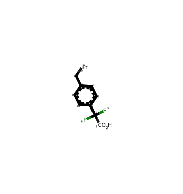 CC(C)Cc1ccc(C(F)(F)C(=O)O)cc1